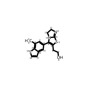 Cc1cc(C2=C(CCO)SC3=NCCN32)cc2ccsc12